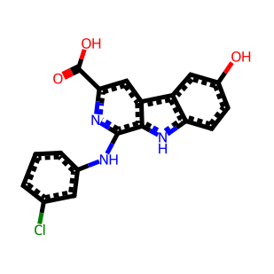 O=C(O)c1cc2c([nH]c3ccc(O)cc32)c(Nc2cccc(Cl)c2)n1